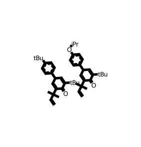 C=CC(C)(C)C1=CC(c2ccc(C(C)(C)C)cc2)C=C(C(C)(C)C)C1=O.C=CC(C)(C)C1=CC(c2ccc(OC(C)C)cc2)C=C(C(C)(C)C)C1=O